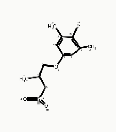 Cc1cc(OCC(C)C[SH](=O)=O)cc(C)c1Br